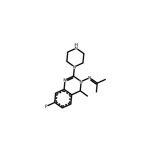 CC(C)=NN1C(N2CCNCC2)=Nc2cc(F)ccc2C1C